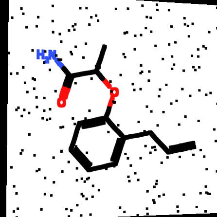 C=CCc1ccccc1OC(C)C(N)=O